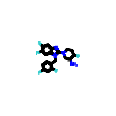 N[C@@H]1CN(c2nc3cc(F)c(F)cc3n2Cc2ccc(F)cc2F)CCC1F